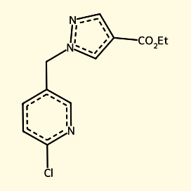 CCOC(=O)c1cnn(Cc2ccc(Cl)nc2)c1